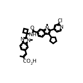 C/C(=C\c1ccc2nc(C3(NC(=O)c4ccc5c(C6CCCC6)c(-c6ccnc(Cl)c6)n(C)c5c4)CCC3)n(C)c2c1)C(=O)O